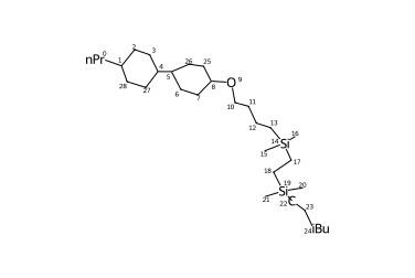 CCCC1CCC(C2CCC(OCCCC[Si](C)(C)CC[Si](C)(C)CCC(C)CC)CC2)CC1